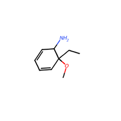 CCC1(OC)C=CC=CC1N